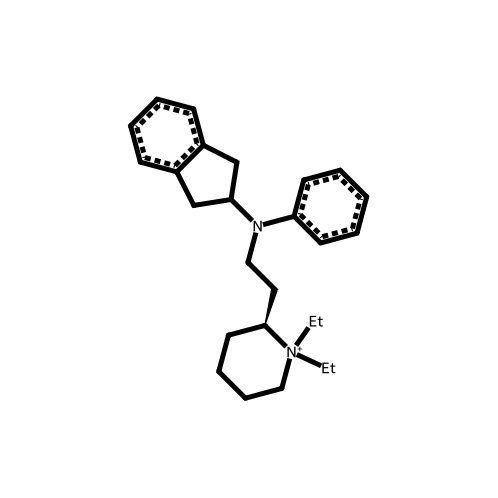 CC[N+]1(CC)CCCC[C@H]1CCN(c1ccccc1)C1Cc2ccccc2C1